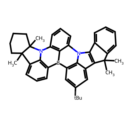 CC(C)(C)c1cc2c3c(c1)c1c(n3-c3cccc4c3B2c2cccc3c2N4C2(C)CCCCC32C)-c2ccccc2C1(C)C